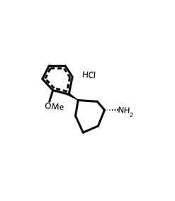 COc1ccccc1[C@@H]1CCC[C@@H](N)C1.Cl